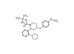 COc1ccc(CC2CCN(C(=O)OC(C)(C)C)C(c3ccccc3C3CCCC3)C2)cc1